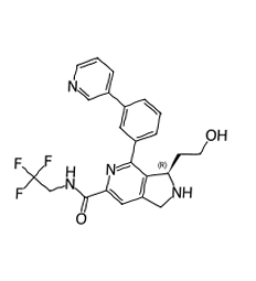 O=C(NCC(F)(F)F)c1cc2c(c(-c3cccc(-c4cccnc4)c3)n1)[C@@H](CCO)NC2